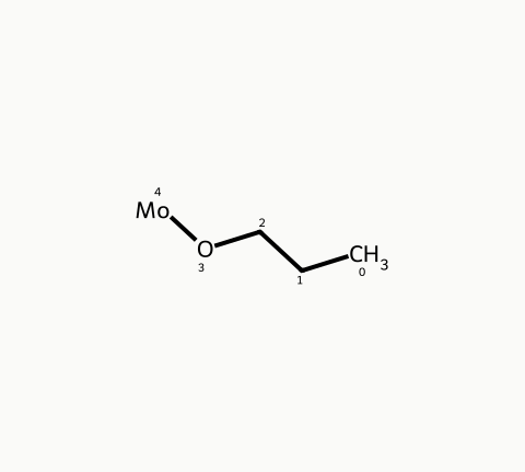 CCC[O][Mo]